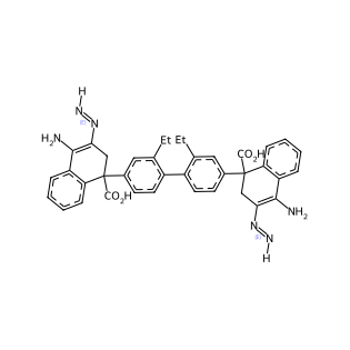 [H]/N=N/C1=C(N)c2ccccc2C(C(=O)O)(c2ccc(-c3ccc(C4(C(=O)O)CC(/N=N/[H])=C(N)c5ccccc54)cc3CC)c(CC)c2)C1